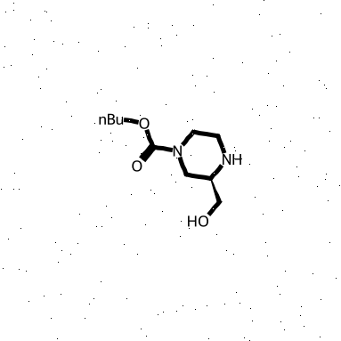 CCCCOC(=O)N1CCN[C@@H](CO)C1